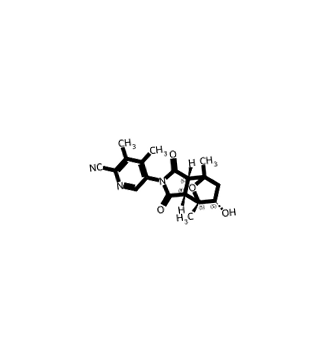 Cc1c(N2C(=O)[C@@H]3[C@H](C2=O)C2(C)C[C@H](O)[C@@]3(C)O2)cnc(C#N)c1C